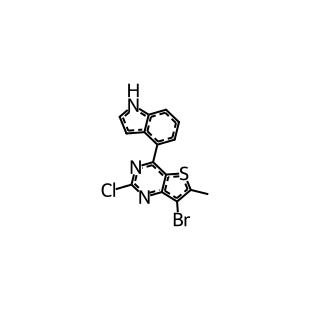 Cc1sc2c(-c3cccc4[nH]ccc34)nc(Cl)nc2c1Br